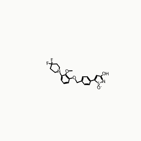 COc1c(OCc2ccc(-c3cc(O)n[s+]3[O-])cc2)cccc1N1CCC(F)(F)CC1